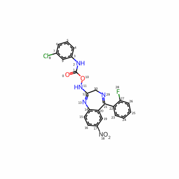 O=C(Nc1cccc(Cl)c1)ONC1=Nc2ccc([N+](=O)[O-])cc2C(c2ccccc2F)=NC1